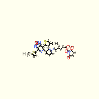 Cc1csc(-c2c(-c3ccc[n+](CCCCCC(=O)ON4C(=O)CCC4=O)c3)nc(-c3ccc(C)s3)c3nonc23)c1